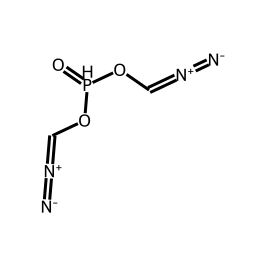 [N-]=[N+]=CO[PH](=O)OC=[N+]=[N-]